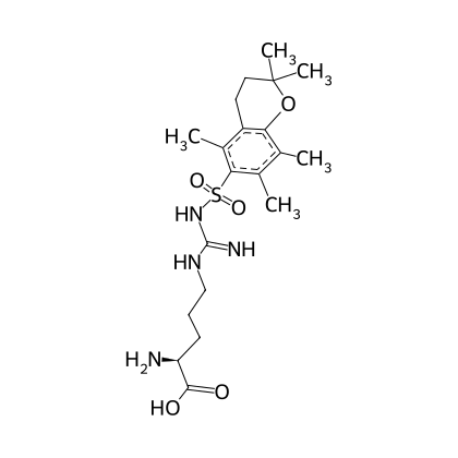 Cc1c(C)c(S(=O)(=O)NC(=N)NCCC[C@H](N)C(=O)O)c(C)c2c1OC(C)(C)CC2